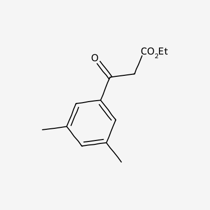 CCOC(=O)CC(=O)c1cc(C)cc(C)c1